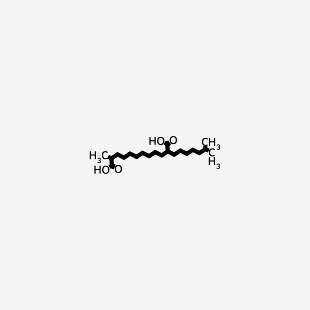 CC(C)CCCCCC(CCCCCCCCC(C)C(=O)O)C(=O)O